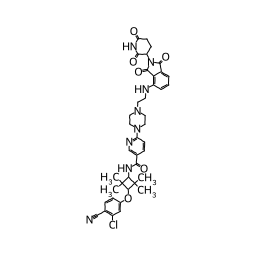 CC1(C)C(NC(=O)c2ccc(N3CCN(CCNc4cccc5c4C(=O)N(C4CCC(=O)NC4=O)C5=O)CC3)nc2)C(C)(C)C1Oc1ccc(C#N)c(Cl)c1